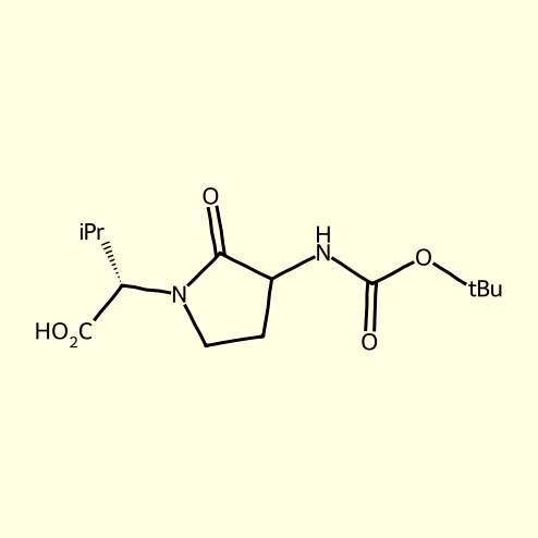 CC(C)[C@@H](C(=O)O)N1CCC(NC(=O)OC(C)(C)C)C1=O